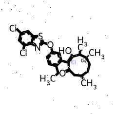 CCc1ccc(Oc2nc3c(Cl)cc(Cl)cc3s2)cc1/C1=C(\O)C(C)[C@@H](C)CC[C@@H](C)CC1=O